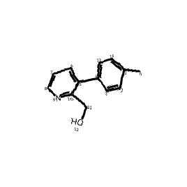 Cc1ccc(-c2cccnc2CO)cc1